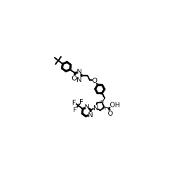 CC(C)(C)c1ccc(-c2nc(CCOc3ccc(C[C@@H]4CN(c5nccc(C(F)(F)F)n5)C[C@@H]4C(=O)O)cc3)no2)cc1